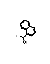 OC(O)c1cccc2ccccc12